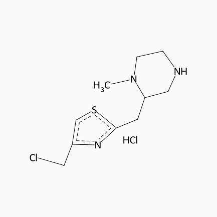 CN1CCNCC1Cc1nc(CCl)cs1.Cl